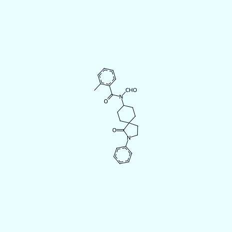 Cc1ccccc1C(=O)N(C=O)C1CCC2(CC1)CCN(c1ccccc1)C2=O